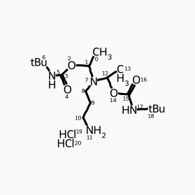 CC(OC(=O)NC(C)(C)C)N(CCCN)C(C)OC(=O)NC(C)(C)C.Cl.Cl